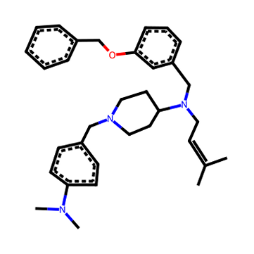 CC(C)=CCN(Cc1cccc(OCc2ccccc2)c1)C1CCN(Cc2ccc(N(C)C)cc2)CC1